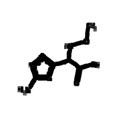 CONC(C(=O)O)c1csc(N)n1